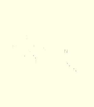 CCC(CC)S(=O)(=O)NC(=O)Cc1cnc2ccnn2c1